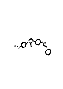 CCCCOc1ccc(-n2ccn(C3CCC(NCCN4CCCCC4)CC3)c2=O)cc1